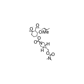 CO[C@@H]1[C@H](OC(=O)N2C[C@@H]3[C@@H](COC(=O)N(C)C)[C@@H]3C2)CC[C@]2(CO2)[C@H]1[C@@]1(C)O[C@@H]1CC=C(C)C